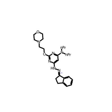 CCCN(CCC)c1cc(N/N=C2\CCc3ccccc32)nc(OCCN2CCOCC2)n1